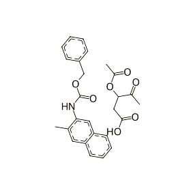 CC(=O)OC(CC(=O)O)C(C)=O.Cc1cc2ccccc2cc1NC(=O)OCc1ccccc1